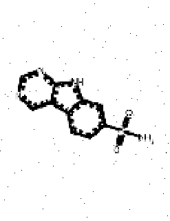 NS(=O)(=O)c1ccc2c(c1)[nH]c1ncncc12